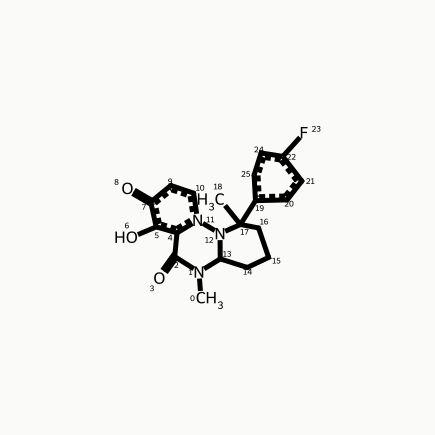 CN1C(=O)c2c(O)c(=O)ccn2N2C1CCCC2(C)c1ccc(F)cc1